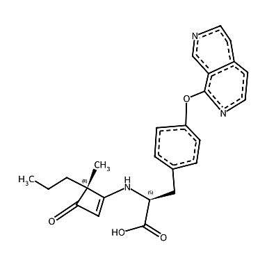 CCC[C@@]1(C)C(=O)C=C1N[C@@H](Cc1ccc(Oc2nccc3ccncc23)cc1)C(=O)O